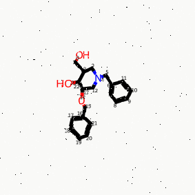 OCC1CN(Cc2ccccc2)CC(OCc2ccccc2)C1O